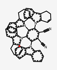 N#Cc1c(C#N)c(-n2c3ccccc3c3ccccc32)c(-n2c3c(c4ccccc42)CCC=C3)c(-n2c3c(c4ccccc42)CCC=C3)c1-n1c2c(c3ccccc31)CCC=C2